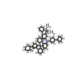 CC1(C)c2ccccc2-c2ccc(N(c3ccc(-c4ccccc4)cc3)c3cccc4c3-c3ccccc3C43c4ccccc4-c4c3ccc3c4sc4ccccc43)cc21